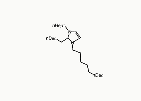 CCCCCCCCCCCCCCCN1C=CN(CCCCCCC)C1CCCCCCCCCCC